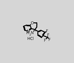 Cl.N[C@]1(c2ccc(C(F)(F)F)c(F)c2)CCOc2cccnc21